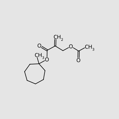 C=C(COC(C)=O)C(=O)OC1(C)CCCCCC1